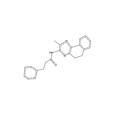 Cc1nc2c(nc1NC(=O)CCc1ccccc1)CCc1ccccc1-2